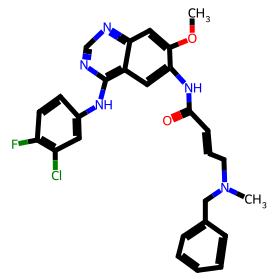 COc1cc2ncnc(Nc3ccc(F)c(Cl)c3)c2cc1NC(=O)/C=C/CN(C)Cc1ccccc1